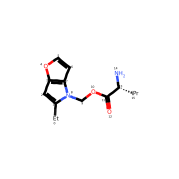 CCc1cc2occc2n1COC(=O)[C@H](N)C(C)C